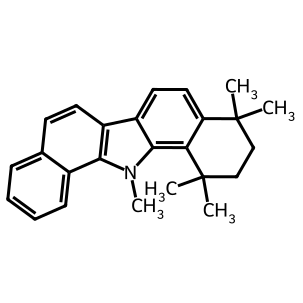 Cn1c2c3c(ccc2c2ccc4ccccc4c21)C(C)(C)CCC3(C)C